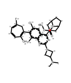 CN(C)C1CN(c2nc(N3CC4CCC(C3)N4C(=O)OC(C)(C)C)c3cc(Cl)c(C4=C(O)C=CC=C(F)C4)c(F)c3n2)C1